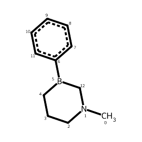 CN1CCCB(c2ccccc2)C1